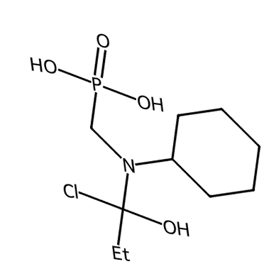 CCC(O)(Cl)N(CP(=O)(O)O)C1CCCCC1